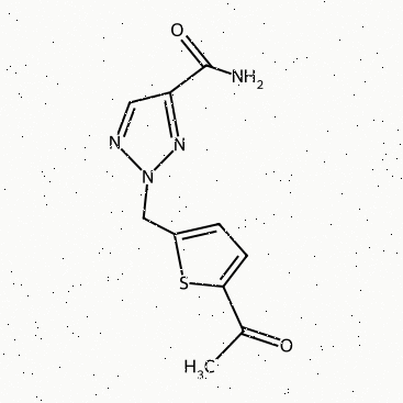 CC(=O)c1ccc(Cn2ncc(C(N)=O)n2)s1